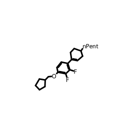 CCCCCC1CC=C(c2ccc(OCC3CCCC3)c(F)c2F)CC1